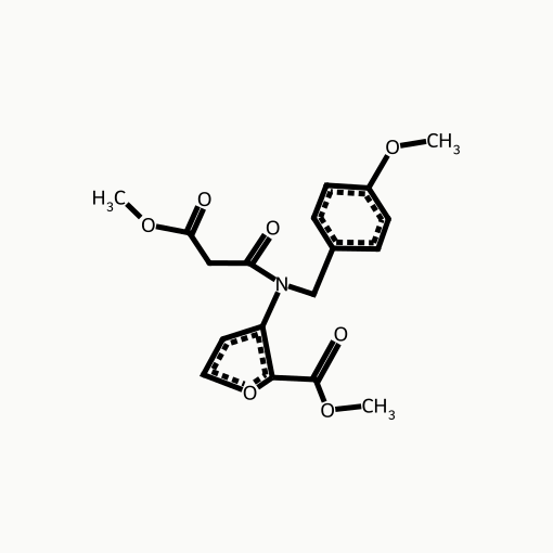 COC(=O)CC(=O)N(Cc1ccc(OC)cc1)c1ccoc1C(=O)OC